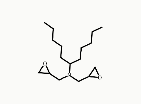 CCCCCC(CCCCC)N(CC1CO1)CC1CO1